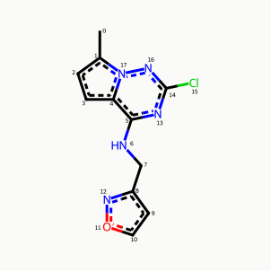 Cc1ccc2c(NCc3ccon3)nc(Cl)nn12